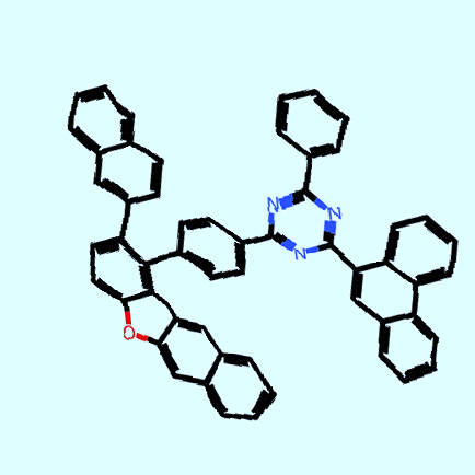 c1ccc(-c2nc(-c3ccc(-c4c(-c5ccc6ccccc6c5)ccc5oc6cc7ccccc7cc6c45)cc3)nc(-c3cc4ccccc4c4ccccc34)n2)cc1